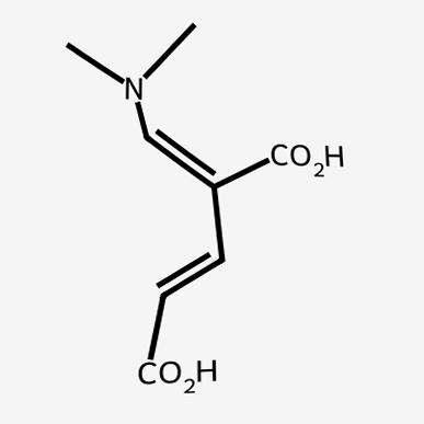 CN(C)C=C(C=CC(=O)O)C(=O)O